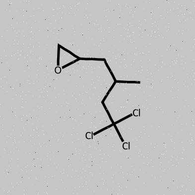 CC(CC1CO1)CC(Cl)(Cl)Cl